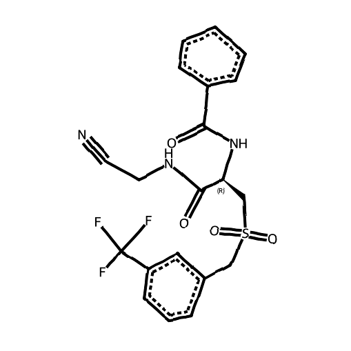 N#CCNC(=O)[C@H](CS(=O)(=O)Cc1cccc(C(F)(F)F)c1)NC(=O)c1ccccc1